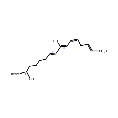 CCCCC[C@H](O)CCCC/C=C/C(O)=C/C=C\CC=CC(=O)O